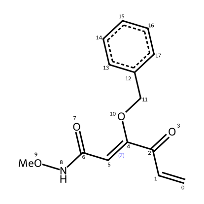 C=CC(=O)/C(=C/C(=O)NOC)OCc1ccccc1